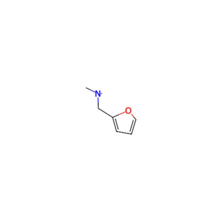 C[N]Cc1ccco1